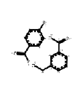 O=C(Cl)c1ccc(Br)cc1.O=C(Cl)c1cccc(CCl)c1